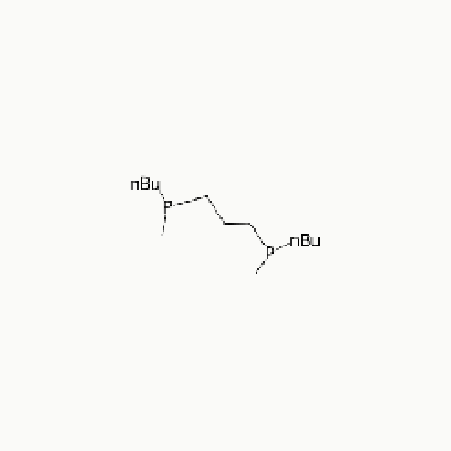 CCCCP(C)CCCP(C)CCCC